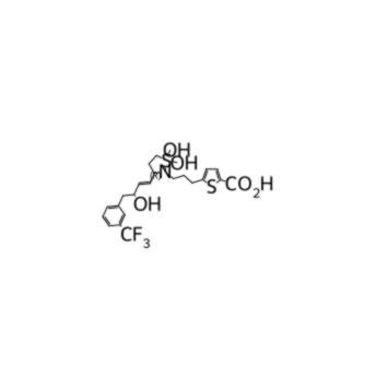 O=C(O)c1ccc(CCCN2[C@@H](C=CC(O)Cc3cccc(C(F)(F)F)c3)CCS2(O)O)s1